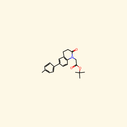 Cc1ccc(-c2ccc3c(c2)CCC(=O)N3CC(=O)OC(C)(C)C)cc1